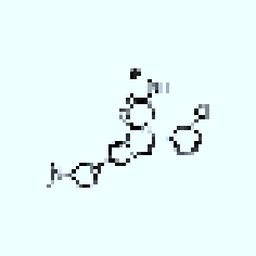 CC(C)NC(=O)Cn1c(-c2cccc(Cl)c2)cn2cc(N3CCC(N(C)C)C3)cc2c1=O